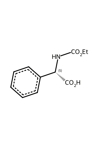 CCOC(=O)N[C@H](C(=O)O)c1ccccc1